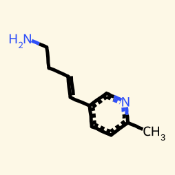 Cc1ccc(/C=C/CCN)cn1